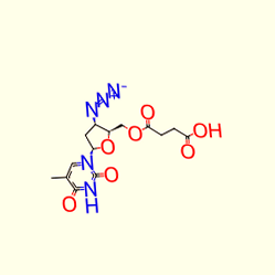 Cc1cn([C@H]2C[C@@H](N=[N+]=[N-])[C@@H](COC(=O)CCC(=O)O)O2)c(=O)[nH]c1=O